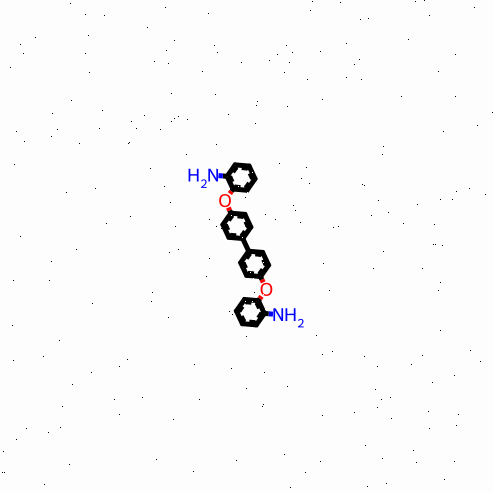 Nc1ccccc1Oc1ccc(-c2ccc(Oc3ccccc3N)cc2)cc1